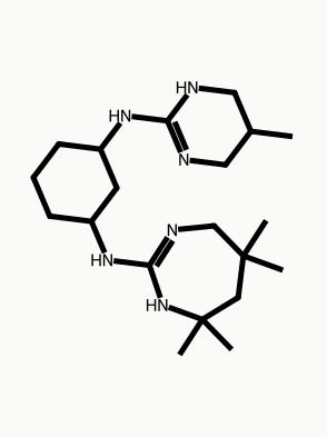 CC1CN=C(NC2CCCC(NC3=NCC(C)(C)CC(C)(C)N3)C2)NC1